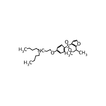 CCCCN(CCCC)CCCOc1ccc(S(=O)(=O)c2ccoc2C(C)C)cc1